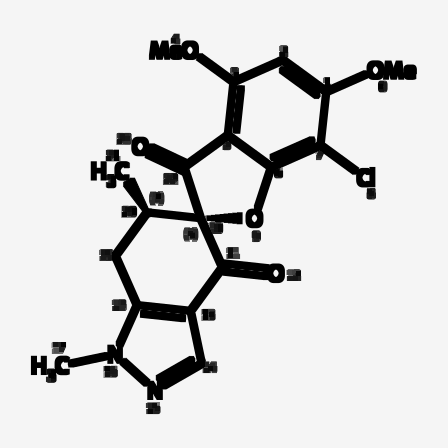 COc1cc(OC)c2c(c1Cl)O[C@@]1(C(=O)c3cnn(C)c3C[C@H]1C)C2=O